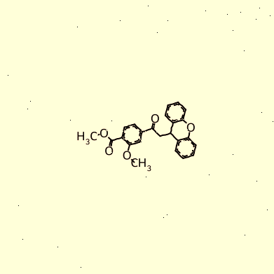 COC(=O)c1ccc(C(=O)CC2c3ccccc3Oc3ccccc32)cc1OC